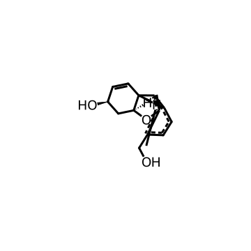 CN1CCC23C=C[C@H](O)C[C@@H]2Oc2c(CO)ccc(c23)C1